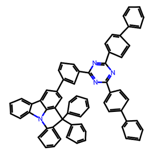 c1ccc(-c2ccc(-c3nc(-c4ccc(-c5ccccc5)cc4)nc(-c4cccc(-c5cc6c7c(c5)c5ccccc5n7-c5ccccc5C6(c5ccccc5)c5ccccc5)c4)n3)cc2)cc1